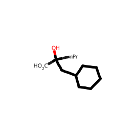 CCCC(O)(CC1CCCCC1)C(=O)O